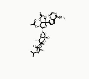 CC(=O)O[C@H]1[C@@H](OC(C)=O)[C@](C#N)(c2ccc3c(N)ncnn23)O[C@@H]1COP(=O)(N[C@@H](C)C(=O)OC(C)C)OCOC(=O)OC(C)C